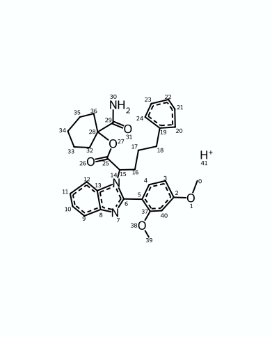 COc1ccc(-c2nc3ccccc3n2C(CCCc2ccccc2)C(=O)OC2(C(N)=O)CCCCC2)c(OC)c1.[H+]